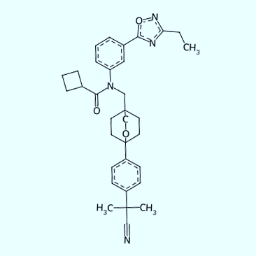 CCc1noc(-c2cccc(N(CC34CCC(c5ccc(C(C)(C)C#N)cc5)(CC3)OC4)C(=O)C3CCC3)c2)n1